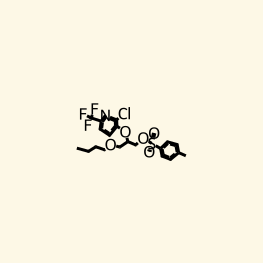 CCCCOCC(COS(=O)(=O)c1ccc(C)cc1)Oc1ccc(C(F)(F)F)nc1Cl